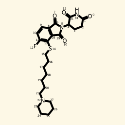 O=C1CCC(N2C(=O)c3ccc(F)c(SCCCCCCCN4CCCCC4)c3C2=O)C(=O)N1